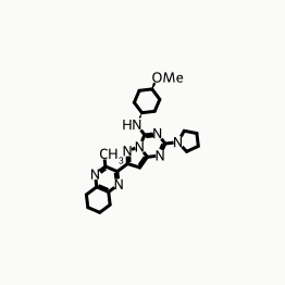 CO[C@H]1CC[C@H](Nc2nc(N3CCCC3)nc3cc(-c4nc5c(nc4C)CCCC5)nn23)CC1